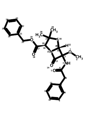 COC1(NC(=O)Cc2ccccc2)C(=O)N2[C@@H](C(=O)OCc3ccccc3)C(C)(C)S[C@@H]21